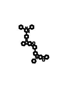 c1ccc(-c2cc(-c3ccc(-n4c5ccccc5c5cc6c(cc54)oc4ccc(-c5ccc7c(c5)c5cc8c(cc5n7-c5ccccc5)oc5ccccc58)cc46)cc3)nc(-c3ccccc3)n2)cc1